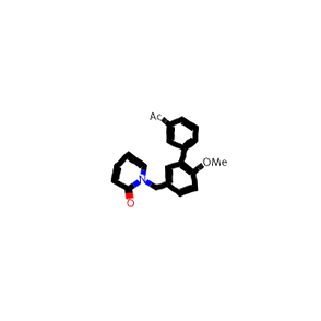 COc1ccc(Cn2ccccc2=O)cc1-c1cccc(C(C)=O)c1